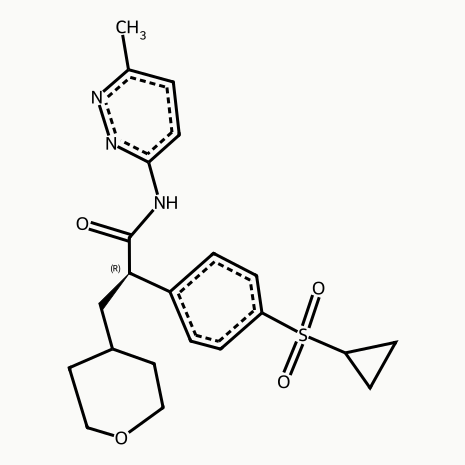 Cc1ccc(NC(=O)[C@H](CC2CCOCC2)c2ccc(S(=O)(=O)C3CC3)cc2)nn1